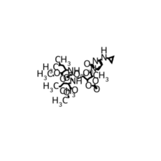 CCOC(=O)C(CC(C)C)NP(=O)(NC(CC(C)C)C(=O)OCC)OC[C@H]1O[C@H](n2ccc(NC3CC3)nc2=O)C2(C)OC(=O)OC12